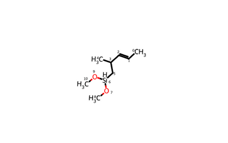 CC=CC(C)C[SiH](OC)OC